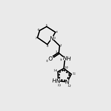 O=C(CN1CCCCC1)Nc1cn[nH]c1